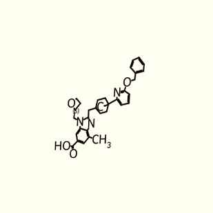 Cc1cc(C(=O)O)cc2c1nc(CC13CCC(c4cccc(OCc5ccccc5)n4)(CC1)CC3)n2C[C@@H]1CCO1